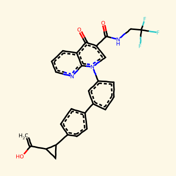 C=C(O)C1CC1c1ccc(-c2cccc(-n3cc(C(=O)NCC(F)(F)F)c(=O)c4cccnc43)c2)cc1